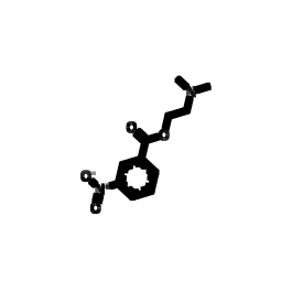 CN(C)CCOC(=O)c1cccc([N+](=O)[O-])c1